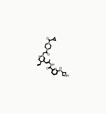 C=CC1C=NN(CC(=O)N2CCN(C(=O)C3CC3)CC2)C=C1/C=C(\C)NC(=O)c1cccc(NC2CNC2)n1